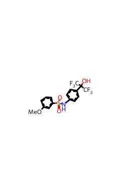 COc1cccc(S(=O)(=O)Nc2ccc(C(O)(C(F)(F)F)C(F)(F)F)cc2)c1